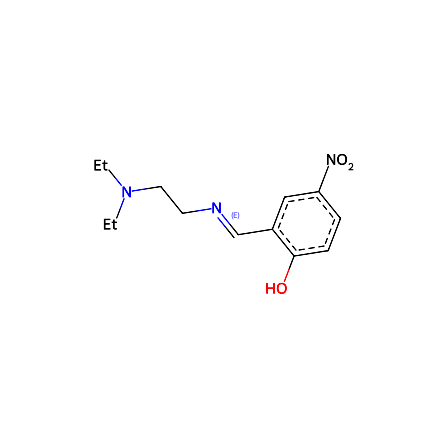 CCN(CC)CC/N=C/c1cc([N+](=O)[O-])ccc1O